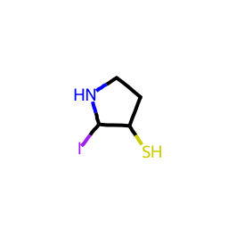 SC1CCNC1I